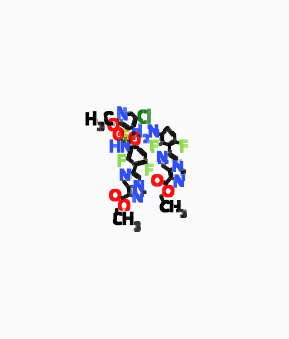 CCOC(=O)c1ncn2cc(-c3c(F)ccc(N)c3F)ncc12.CCOC(=O)c1ncn2cc(-c3c(F)ccc(NS(=O)(=O)c4cc(Cl)cnc4OC)c3F)ncc12